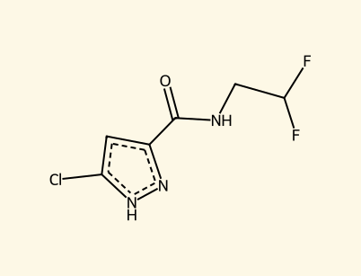 O=C(NCC(F)F)c1cc(Cl)[nH]n1